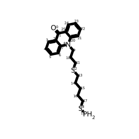 O=c1c2ccccc2n(CCCSCCCCCSP)c2ccccc12